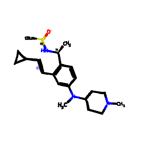 C[C@H](N[S@+]([O-])C(C)(C)C)c1ccc(N(C)C2CCN(C)CC2)cc1/C=C/C1CC1